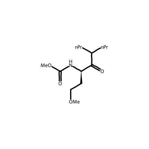 CCCC(CCC)C(=O)[C@@H](CCOC)NC(=O)OC